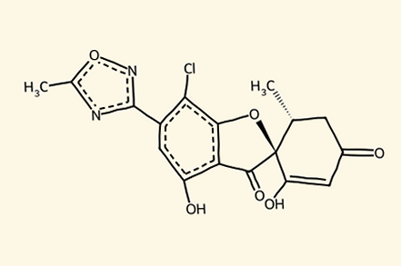 Cc1nc(-c2cc(O)c3c(c2Cl)O[C@]2(C3=O)C(O)=CC(=O)C[C@H]2C)no1